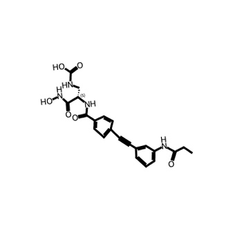 CCC(=O)Nc1cccc(C#Cc2ccc(C(=O)N[C@@H](CNC(=O)O)C(=O)NO)cc2)c1